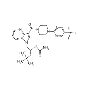 CC(C)(C)CC(Cn1cc(C(=O)N2CCN(c3ncc(C(F)(F)F)cn3)CC2)c2ncccc21)OC(N)=O